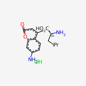 CC(C)C[C@H](N)C(=O)O.Cc1cc(=O)oc2cc(N)ccc12.Cl